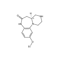 CCOc1ccc2c(c1)N1CCNC[C@@H]1CC(=O)N2